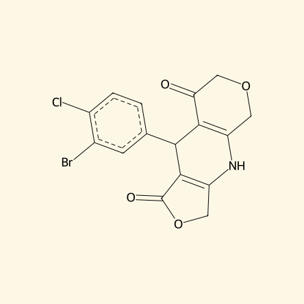 O=C1COCC2=C1C(c1ccc(Cl)c(Br)c1)C1=C(COC1=O)N2